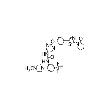 CN1CCN(c2ccc(C(F)(F)F)cc2NC(=O)Nc2cnc(Oc3ccc(-c4cnc(N5CCCCC5=O)s4)cc3)nc2)CC1